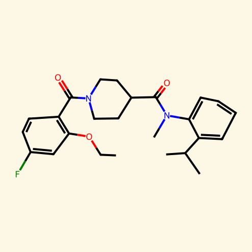 CCOc1cc(F)ccc1C(=O)N1CCC(C(=O)N(C)c2ccccc2C(C)C)CC1